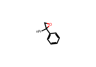 CCCC1(c2ccccc2)CO1